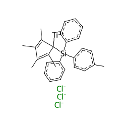 CC1=C(C)[C]([Ti+3])([Si](c2ccccc2)(c2ccccc2)c2ccc(C)cc2)C(C)=C1C.[Cl-].[Cl-].[Cl-]